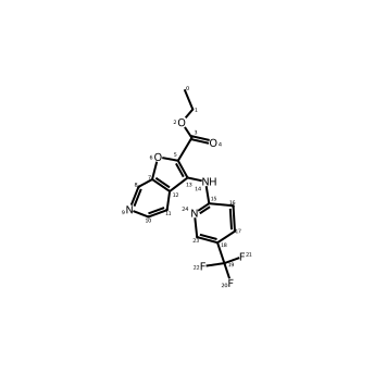 CCOC(=O)c1oc2cnccc2c1Nc1ccc(C(F)(F)F)cn1